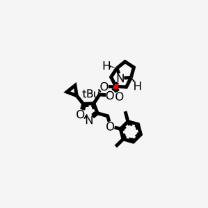 Cc1cccc(C)c1OCc1noc(C2CC2)c1COC1C[C@H]2CC[C@@H](C1)N2C(=O)OC(C)(C)C